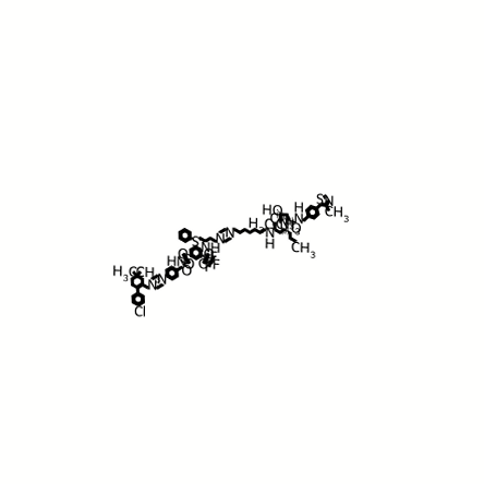 CCCC[C@@H](CC(NCCCCCCCN1CCN(CCC(CSc2ccccc2)Nc2ccc(S(=O)(=O)NC(=O)c3ccc(N4CCN(CC5=C(c6ccc(Cl)cc6)CCC(C)(C)C5)CC4)cc3)cc2S(=O)(=O)C(F)(F)F)CC1)C(C)(C)C)N1C[C@H](O)C[C@H]1C(=O)NCc1ccc(-c2scnc2C)cc1